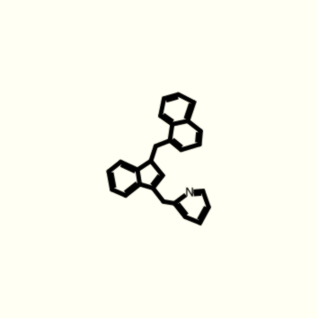 C1=C(Cc2ccccn2)c2ccccc2C1Cc1cccc2ccccc12